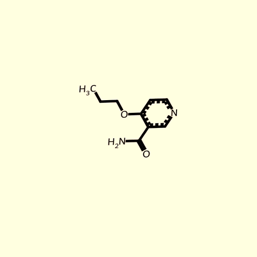 CCCOc1ccncc1C(N)=O